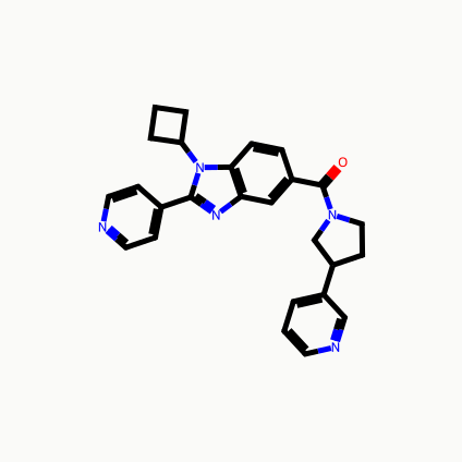 O=C(c1ccc2c(c1)nc(-c1ccncc1)n2C1CCC1)N1CCC(c2cccnc2)C1